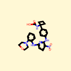 O=C(O)NC1(c2ccc(Nc3nc(Nc4ccccc4N4CCOCC4)ccc3[N+](=O)[O-])cc2)CCC1